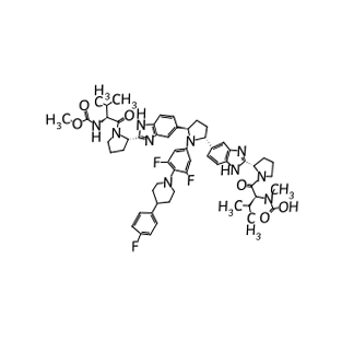 COC(=O)N[C@H](C(=O)N1CCC[C@H]1c1nc2cc([C@H]3CC[C@H](c4ccc5[nH]c([C@@H]6CCCN6C(=O)[C@H](C(C)C)N(C)C(=O)O)nc5c4)N3c3cc(F)c(N4CCC(c5ccc(F)cc5)CC4)c(F)c3)ccc2[nH]1)C(C)C